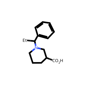 CCC(c1ccccc1)N1CCCC(C(=O)O)C1